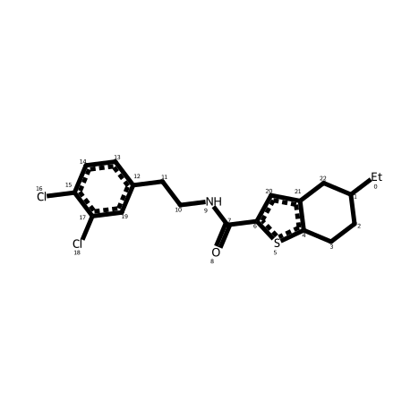 CCC1CCc2sc(C(=O)NCCc3ccc(Cl)c(Cl)c3)cc2C1